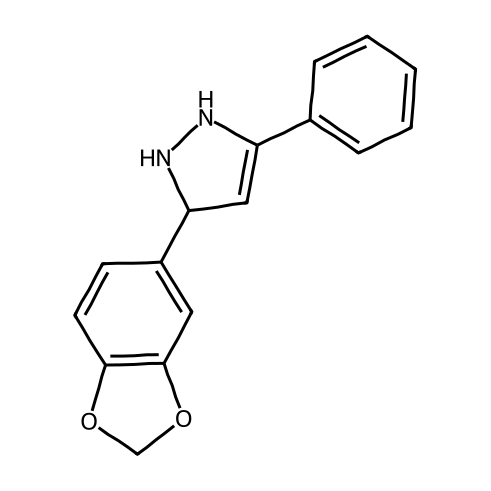 C1=C(c2ccccc2)NNC1c1ccc2c(c1)OCO2